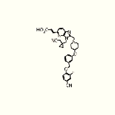 N#CCC1(Cn2c(CN3CCC(Oc4cccc(COc5ccc(C#N)cc5F)c4)CC3)nc3ccc(/C=C/C(=O)O)nc32)CC1